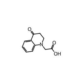 O=C(O)CN1CCC(=O)c2ccccc21